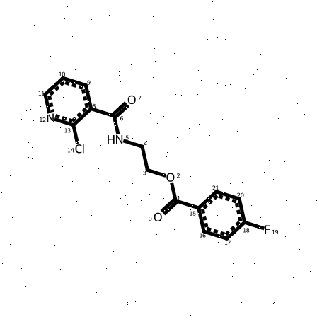 O=C(OCCNC(=O)c1cccnc1Cl)c1ccc(F)cc1